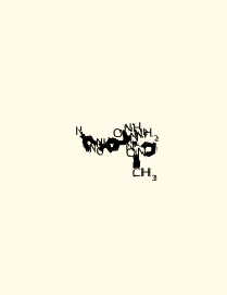 CC#CC(=O)N1CCCC[C@H]1c1nc(-c2ccc(C(=O)Nc3cc(C#N)ccn3)cc2)c(C(N)=O)n1N